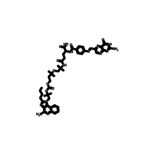 CCCCc1nc2c(N)nc3ccccc3c2n1CC(C)(C)OC(=O)OCCC(C)(C)OCC(C)(C)NC(=O)CCC(NC(=O)c1ccc(/N=C/c2cnc3nc(N)[nH]c(=O)c3n2)cc1)C(=O)O